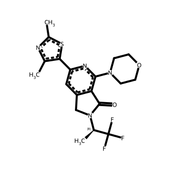 Cc1nc(C)c(-c2cc3c(c(N4CCOCC4)n2)C(=O)N([C@H](C)C(F)(F)F)C3)s1